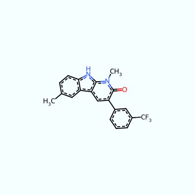 Cc1ccc2[nH]c3c(cc(-c4cccc(C(F)(F)F)c4)c(=O)n3C)c2c1